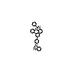 c1ccc(-c2nc3ccccc3n2-c2ccccc2-c2cccc(-c3ccc(-n4cnc5ccccc54)cc3)c2)cc1